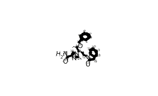 C[C@H](OCc1ccccc1)[C@@H](CCN1C(=O)Cc2ccccc21)n1cnc(C(N)=O)c1